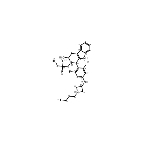 C[C@H]1Cc2c([nH]c3ccccc23)C(c2c(F)cc(NC3CN(CCCF)C3)cc2F)N1CC(F)(F)CO